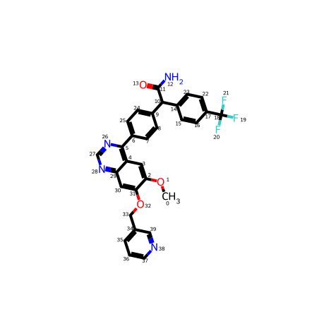 COc1cc2c(-c3ccc(C(C(N)=O)c4ccc(C(F)(F)F)cc4)cc3)ncnc2cc1OCc1cccnc1